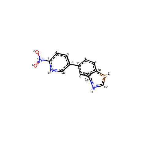 O=[N+]([O-])c1ccc(-c2ccc3scnc3c2)cn1